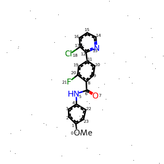 COc1ccc(NC(=O)c2ccc(-c3ncccc3Cl)cc2F)cc1